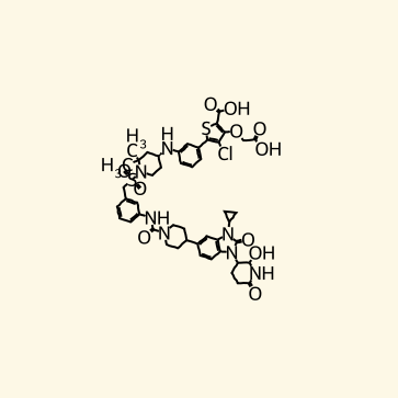 CC1(C)C[C@@H](Nc2cccc(-c3sc(C(=O)O)c(OCC(=O)O)c3Cl)c2)CCN1S(=O)(=O)Cc1cccc(NC(=O)N2CCC(c3ccc4c(c3)n(C3CC3)c(=O)n4C3CCC(=O)NC3O)CC2)c1